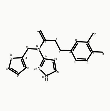 C=C(CCc1ccc(C)c(C)c1)N(Cc1cccs1)c1cc[nH]n1